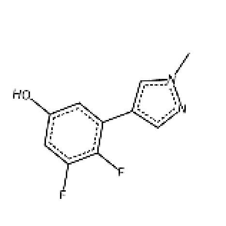 Cn1cc(-c2cc(O)cc(F)c2F)cn1